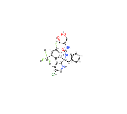 O=C[C@@H](CO)NC(=O)N[C@@](Cc1ccccc1)(c1cc(F)cc(C(F)(F)F)c1)c1ccc(Cl)cn1